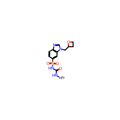 CCCNC(=O)NS(=O)(=O)c1ccc2ncn(CC3CCO3)c2c1